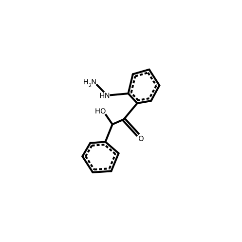 NNc1ccccc1C(=O)C(O)c1ccccc1